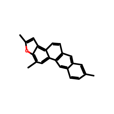 Cc1ccc2cc3c(ccc4c5cc(C)oc5c(C)cc34)cc2c1